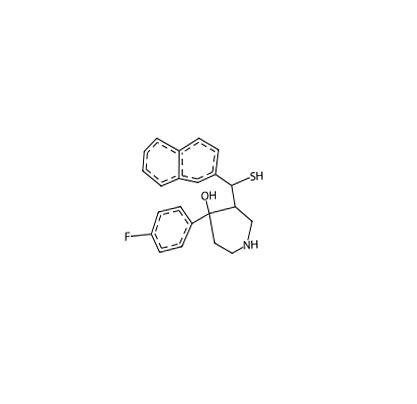 OC1(c2ccc(F)cc2)CCNCC1C(S)c1ccc2ccccc2c1